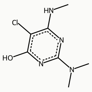 CNc1nc(N(C)C)nc(O)c1Cl